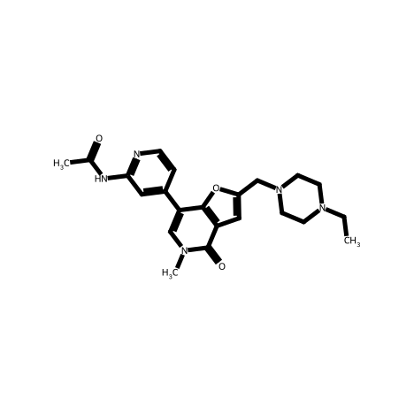 CCN1CCN(Cc2cc3c(=O)n(C)cc(-c4ccnc(NC(C)=O)c4)c3o2)CC1